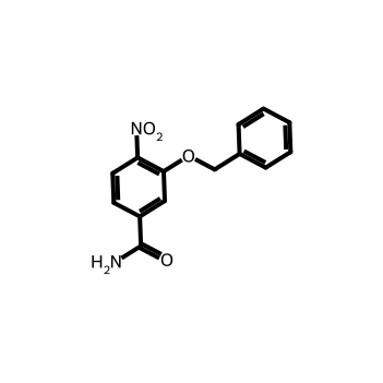 NC(=O)c1ccc([N+](=O)[O-])c(OCc2ccccc2)c1